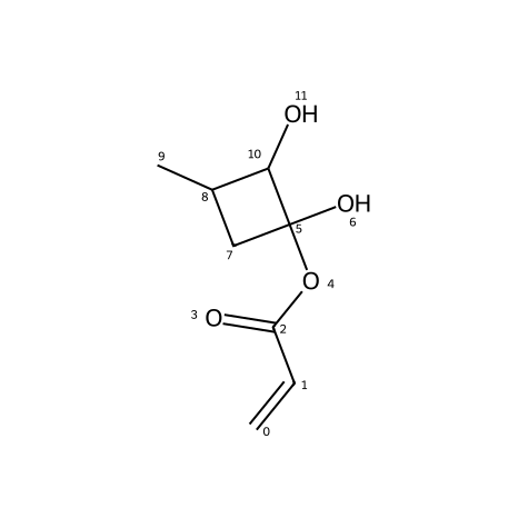 C=CC(=O)OC1(O)CC(C)C1O